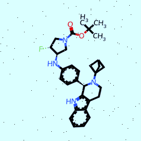 CC(C)(C)OC(=O)N1C[C@@H](F)[C@H](Nc2ccc([C@@H]3c4[nH]c5ccccc5c4CCN3C34CC(C3)C4)cc2)C1